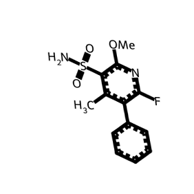 COc1nc(F)c(-c2ccccc2)c(C)c1S(N)(=O)=O